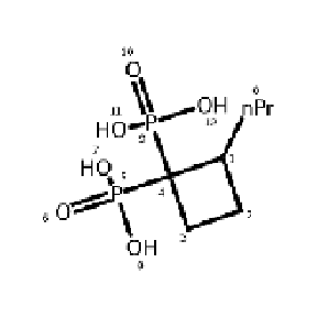 CCCC1CCC1(P(=O)(O)O)P(=O)(O)O